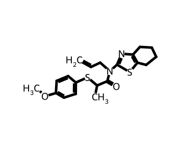 C=CCN(C(=O)C(C)Sc1ccc(OC)cc1)c1nc2c(s1)CCCC2